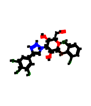 OC[C@@H]1O[C@@H](Sc2c(F)cccc2Cl)[C@@H](O)[C@H](n2cc(-c3cc(F)c(F)c(F)c3)nn2)[C@@H]1O